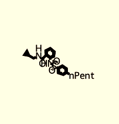 CCCCCc1ccc(S(=O)(=O)Nc2ccccc2C(=O)NCC2CC2)cc1